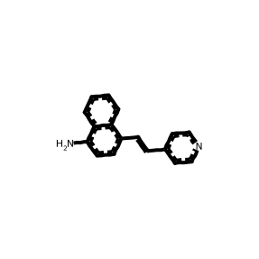 Nc1ccc(/C=C/c2ccncc2)c2ccccc12